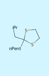 CCCCCC1(CC(C)C)SCCS1